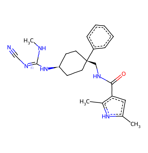 CN/C(=N\C#N)N[C@H]1CC[C@](CNC(=O)c2cc(C)[nH]c2C)(c2ccccc2)CC1